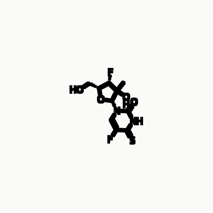 CC1(O)[C@@H](F)[C@@H](CO)O[C@H]1n1cc(F)c(=S)[nH]c1=O